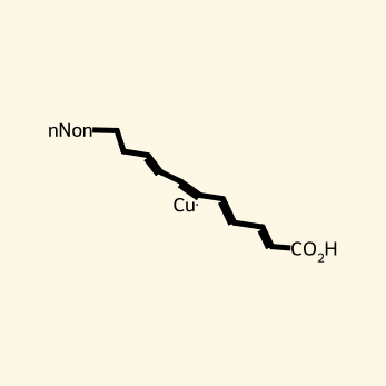 CCCCCCCCCCCC=CC=CC=CC=CC(=O)O.[Cu]